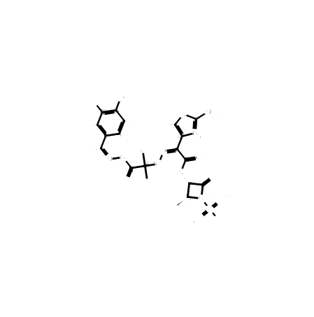 C[C@H]1[C@H](NC(=O)C(=NOC(C)(C)C(=O)N/N=C\c2ccc(O)c(O)c2)c2csc(N)n2)C(=O)N1S(=O)(=O)O